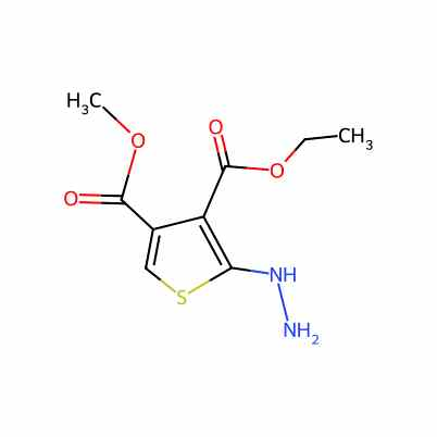 CCOC(=O)c1c(C(=O)OC)csc1NN